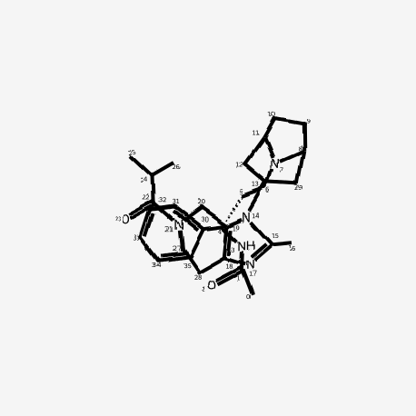 CC(=O)N[C@@H](CCN1C2CCC1CC(n1c(C)nc3c1CN(C(=O)C(C)C)CC3)C2)c1ccccc1